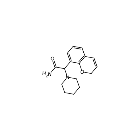 NC(=O)C(c1cccc2c1OCC=C2)N1CCCCC1